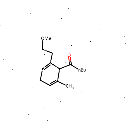 CCCCC(=O)C1C(C)=CCC=C1CCOC